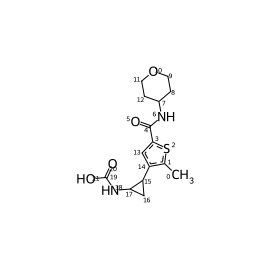 Cc1sc(C(=O)NC2CCOCC2)cc1C1CC1NC(=O)O